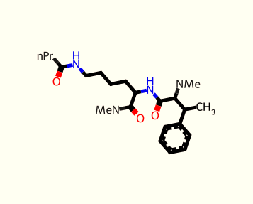 CCCC(=O)NCCCCC(NC(=O)C(NC)C(C)c1ccccc1)C(=O)NC